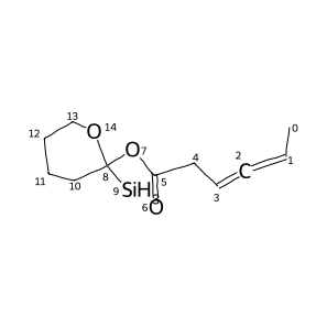 CC=C=CCC(=O)OC1([SiH3])CCCCO1